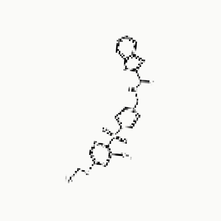 CCOc1ccc(S(=O)(=O)c2ccc(CNC(=O)c3cc4ccncc4s3)cc2)c(C)c1